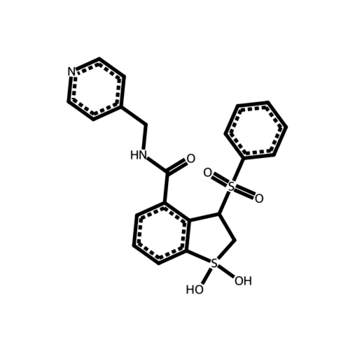 O=C(NCc1ccncc1)c1cccc2c1C(S(=O)(=O)c1ccccc1)CS2(O)O